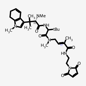 CN[C@H](C(=O)NC(C(=O)N(C)C/C=C(\C)C(=O)NCCN1C(=O)C=CC1=O)C(C)(C)C)C(C)(C)c1cn(C)c2c1C=CCC2